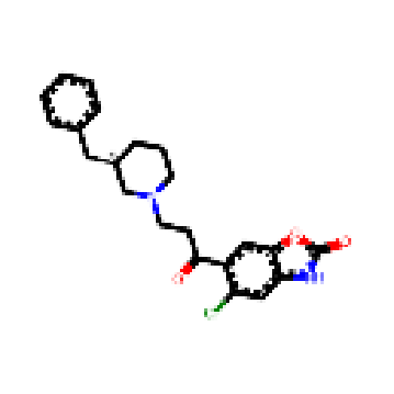 O=C(CCN1CCC[C@H](Cc2ccccc2)C1)c1cc2oc(=O)[nH]c2cc1Cl